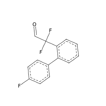 O=CC(F)(F)c1ccccc1-c1ccc(F)cc1